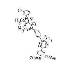 COc1ccc(-c2cnc(N)c(-c3ccc(NC(=O)c4c(C)n(C)n(-c5cccc(Cl)c5)c4=O)cc3)n2)cc1OC